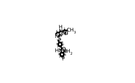 Cc1cc(Nc2ccnc(SCc3ccc(C(=O)Nc4ccc(F)cc4N)cc3)n2)no1